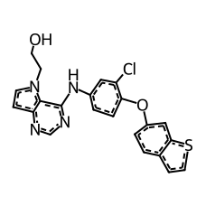 OCCn1ccc2ncnc(Nc3ccc(Oc4ccc5ccsc5c4)c(Cl)c3)c21